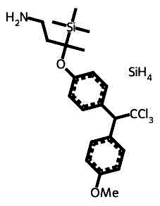 COc1ccc(C(c2ccc(OC(C)(CCN)[Si](C)(C)C)cc2)C(Cl)(Cl)Cl)cc1.[SiH4]